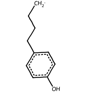 [CH2]CCCc1ccc(O)cc1